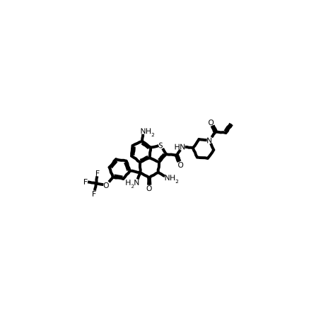 C=CC(=O)N1CCCC(NC(=O)c2sc3c(N)ccc4c3c2C(N)C(=O)C4(N)c2cccc(OC(F)(F)F)c2)C1